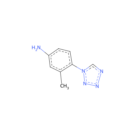 Cc1cc(N)ccc1-n1cnnn1